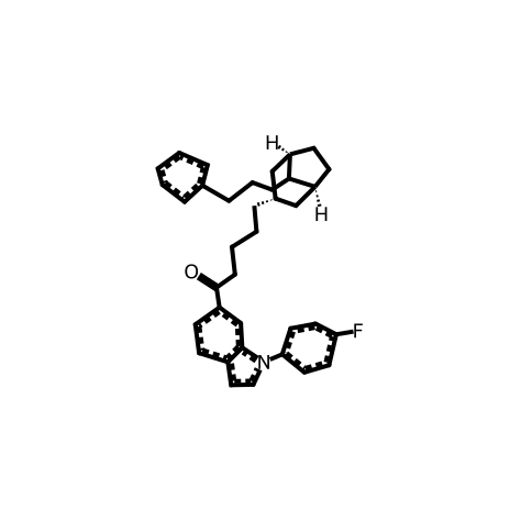 O=C(CCCC[C@@H]1C[C@H]2CC[C@@H](C1)C2CCCc1ccccc1)c1ccc2ccn(-c3ccc(F)cc3)c2c1